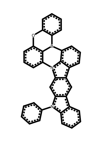 c1ccc(-n2c3ccccc3c3cc4c5cccc6c5n(c4cc32)-c2cccc3c2B6c2ccccc2O3)cc1